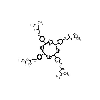 CC(C)OC(=O)COc1ccc(-c2c3nc(c(-c4ccc(OCC(=O)OC(C)C)cc4)c4ccc([nH]4)c(-c4ccc(OCC(=O)OC(C)C)cc4)c4nc(c(-c5ccc(OCC(=O)OC(C)C)cc5)c5ccc2[nH]5)C=C4)C=C3)cc1